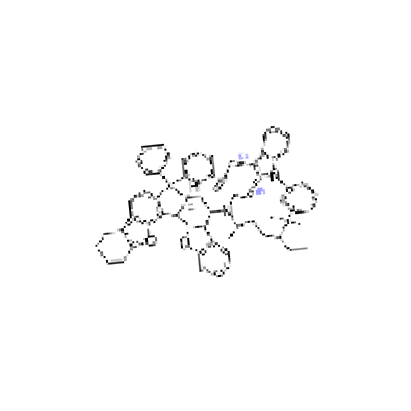 C#C/C=c1\c(=C/CN(C(C)CCC(CC)C(C)(C)C)C2C[C@H]3C(c4c(ccc5c6c(oc45)C=CCC6)C3(c3ccccc3)c3ccccc3)C3Oc4ccccc4C32)n(-c2ccccc2)c2ccccc12